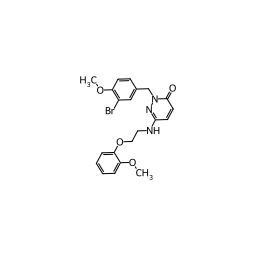 COc1ccc(Cn2nc(NCCOc3ccccc3OC)ccc2=O)cc1Br